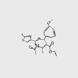 CCOC(=O)C1=C(C)N(C(C)=O)C(c2csc(C)n2)=NC1c1cccc(OC)c1